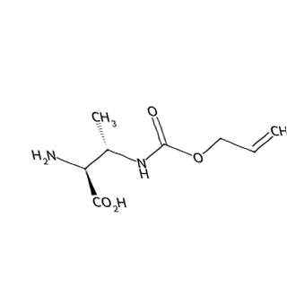 C=CCOC(=O)N[C@@H](C)[C@H](N)C(=O)O